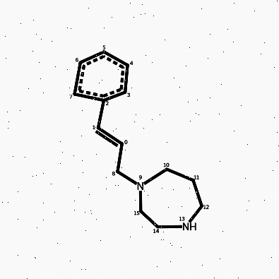 C(=Cc1ccccc1)CN1CCCNCC1